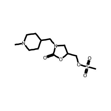 CN1CCC(CN2CC(COS(C)(=O)=O)OC2=O)CC1